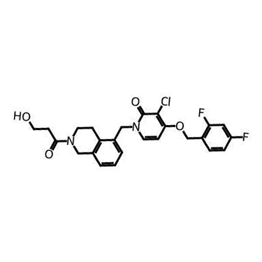 O=C(CCO)N1CCc2c(cccc2Cn2ccc(OCc3ccc(F)cc3F)c(Cl)c2=O)C1